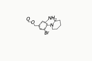 CC1CCCCN1c1c(N)cc(COC=O)cc1Br